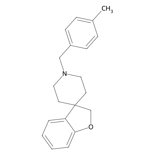 Cc1ccc(CN2CCC3(CC2)COc2ccccc23)cc1